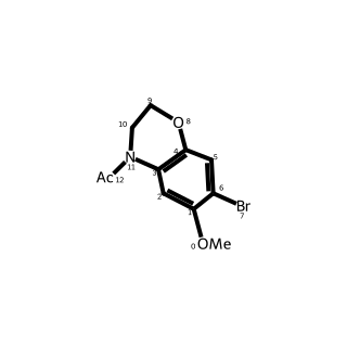 COc1cc2c(cc1Br)OCCN2C(C)=O